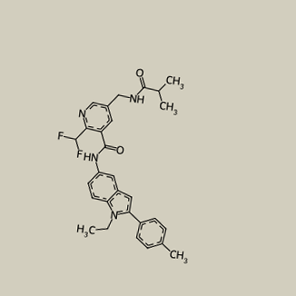 CCn1c(-c2ccc(C)cc2)cc2cc(NC(=O)c3cc(CNC(=O)C(C)C)cnc3C(F)F)ccc21